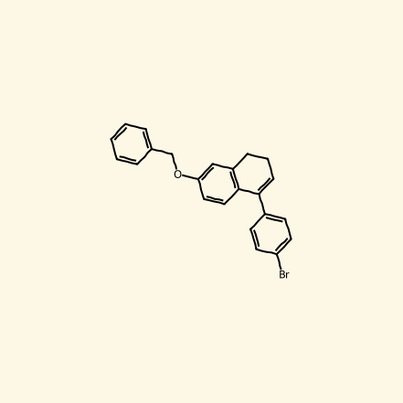 Brc1ccc(C2=CCCc3cc(OCc4ccccc4)ccc32)cc1